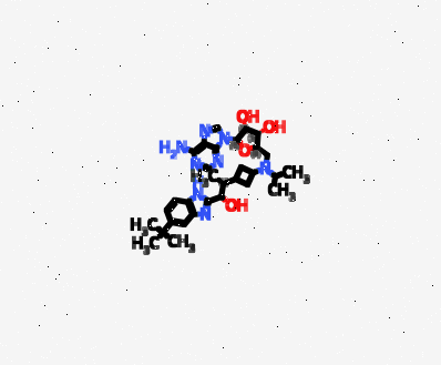 CC(C)N(C[C@H]1O[C@@H](n2cnc3c(N)ncnc32)[C@H](O)[C@@H]1O)C1CC([C@H](C)C(O)c2nc3cc(C(C)(C)C)ccc3[nH]2)C1